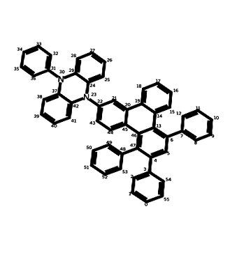 c1ccc(-c2cc(-c3ccccc3)c3c4ccccc4c4cc(N5c6ccccc6N(c6ccccc6)c6ccccc65)ccc4c3c2-c2ccccc2)cc1